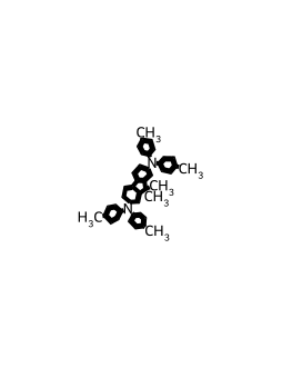 Cc1ccc(N(c2ccc(C)cc2)c2ccc3c(c2)C(C)(C)C2=CC(N(c4ccc(C)cc4)c4ccc(C)cc4)CC=C23)cc1